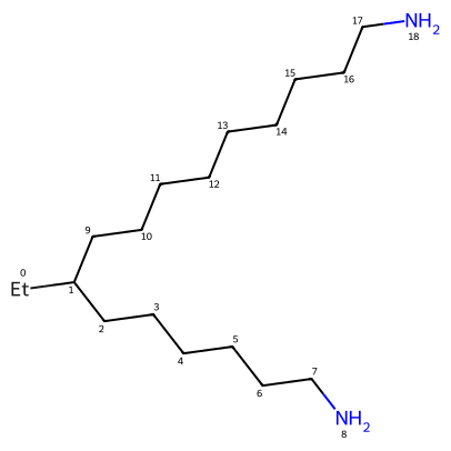 CCC(CCCCCCN)CCCCCCCCCN